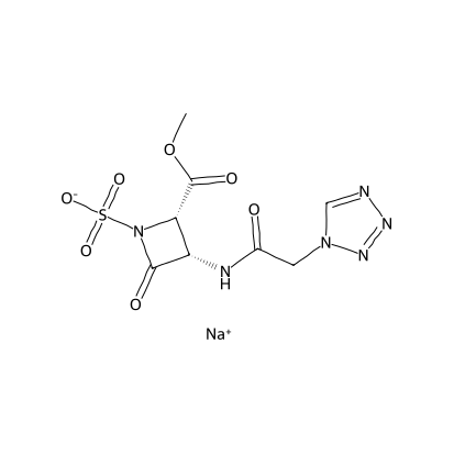 COC(=O)[C@@H]1[C@H](NC(=O)Cn2cnnn2)C(=O)N1S(=O)(=O)[O-].[Na+]